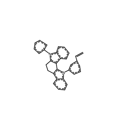 C=Cc1cccc(-n2c3c(c4ccccc42)CCc2c-3c3ccccc3n2-c2ccccc2)c1